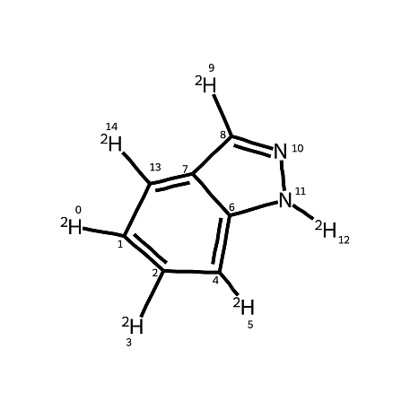 [2H]c1c([2H])c([2H])c2c(c([2H])nn2[2H])c1[2H]